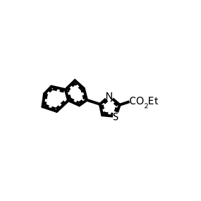 CCOC(=O)c1nc(-c2ccc3ccccc3c2)cs1